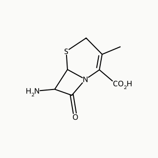 CC1=C(C(=O)O)N2C(=O)C(N)C2SC1